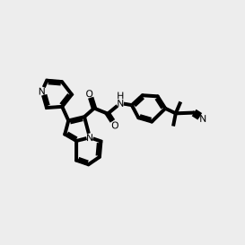 CC(C)(C#N)c1ccc(NC(=O)C(=O)c2c(-c3cccnc3)cc3ccccn23)cc1